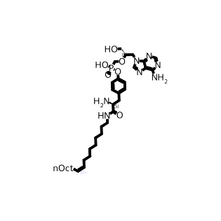 CCCCCCCC/C=C\CCCCCCCCNC(=O)[C@@H](N)Cc1ccc(OP(=O)(O)CO[C@H](CO)Cn2cnc3c(N)ncnc32)cc1